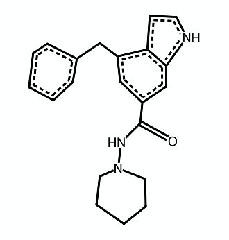 O=C(NN1CCCCC1)c1cc(Cc2ccccc2)c2cc[nH]c2c1